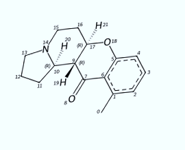 Cc1cccc2c1C(=O)[C@@H]1[C@H]3CCCN3CC[C@H]1O2